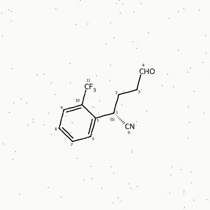 N#C[C@@H](CCC=O)c1ccccc1C(F)(F)F